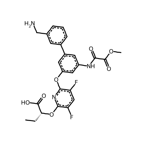 CC[C@@H](Oc1nc(Oc2cc(NC(=O)C(=O)OC)cc(-c3cccc(CN)c3)c2)c(F)cc1F)C(=O)O